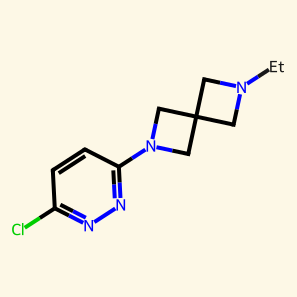 CCN1CC2(C1)CN(c1ccc(Cl)nn1)C2